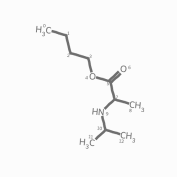 CCCCOC(=O)C(C)NC(C)C